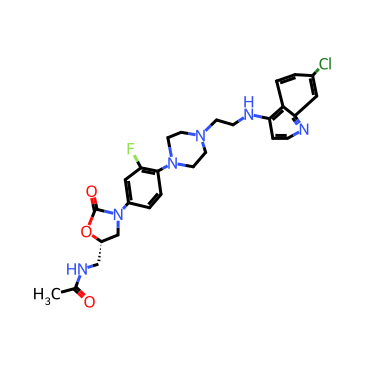 CC(=O)NC[C@H]1CN(c2ccc(N3CCN(CCNc4ccnc5cc(Cl)ccc45)CC3)c(F)c2)C(=O)O1